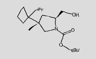 CC(C)C1([C@]2(C)C[C@@H](CO)N(C(=O)OC(C)(C)C)C2)CCC1